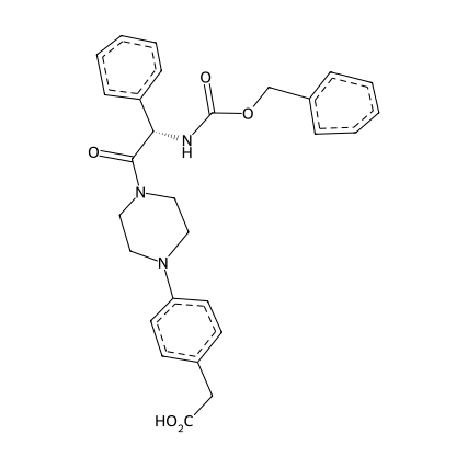 O=C(O)Cc1ccc(N2CCN(C(=O)[C@@H](NC(=O)OCc3ccccc3)c3ccccc3)CC2)cc1